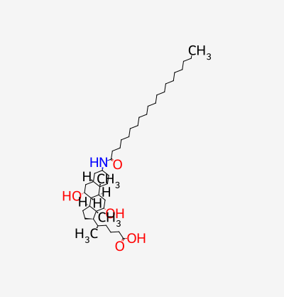 CCCCCCCCCCCCCCCCCCCC(=O)N[C@H]1CC[C@@]2(C)[C@@H](C1)C[C@@H](O)[C@@H]1[C@@H]2C[C@H](O)[C@]2(C)[C@@H]([C@H](C)CCCC(=O)O)CC[C@@H]12